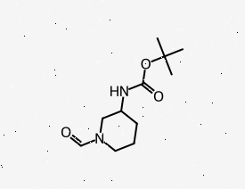 CC(C)(C)OC(=O)NC1CCCN(C=O)C1